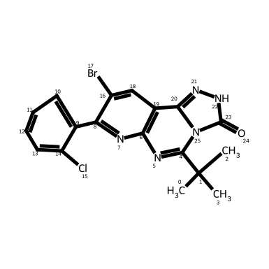 CC(C)(C)c1nc2nc(-c3ccccc3Cl)c(Br)cc2c2n[nH]c(=O)n12